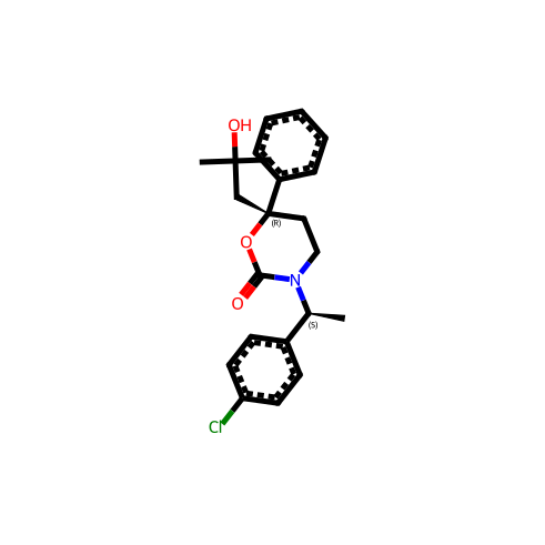 C[C@@H](c1ccc(Cl)cc1)N1CC[C@@](CC(C)(C)O)(c2ccccc2)OC1=O